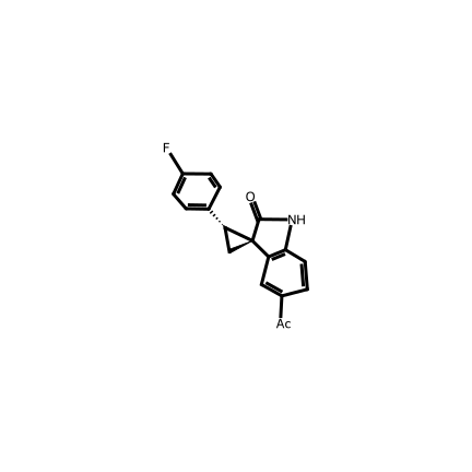 CC(=O)c1ccc2c(c1)[C@@]1(C[C@@H]1c1ccc(F)cc1)C(=O)N2